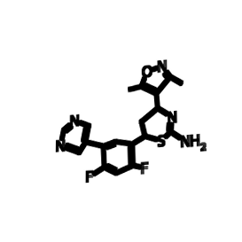 Cc1noc(C)c1C1CC(c2cc(-c3cncnc3)c(F)cc2F)SC(N)=N1